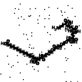 NCCCC[C@H](NC(=O)CC[C@H](NC(=O)CC[C@H](NC(=O)COCCOCCNC(=O)COCCOCCNC(=O)CC[C@H](NC(=O)CCCCCCCCCCCCCCCCC(=O)O)C(=O)O)C(=O)O)C(=O)O)C(=O)O